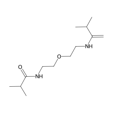 C=C(NCCOCCNC(=O)C(C)C)C(C)C